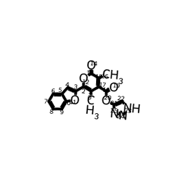 Cc1c(-c2cc3ccccc3o2)oc(=O)c(C)c1C(=O)Oc1c[nH]nn1